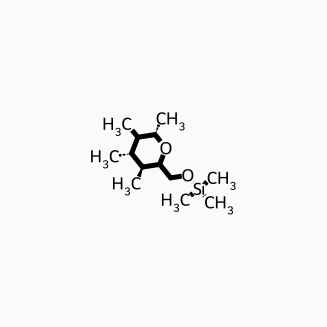 CC1[C@H](C)OC(CO[Si](C)(C)C)[C@@H](C)[C@@H]1C